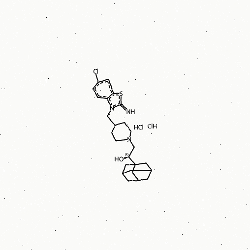 Cl.Cl.N=c1sc2cc(Cl)ccc2n1CC1CCN(C[C@H](O)C23CC4CC(CC(C4)C2)C3)CC1